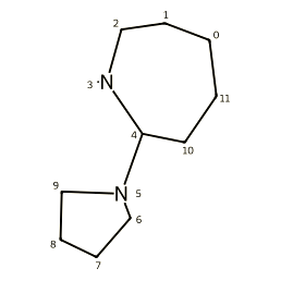 C1CC[N]C(N2CCCC2)CC1